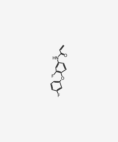 C=CC(=O)Nc1ccc(Oc2cccc(F)c2)c(F)c1